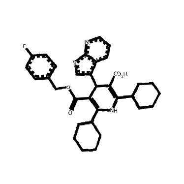 O=C(O)C1=C(C2CCCCC2)NC(C2CCCCC2)=C(C(=O)OCc2ccc(F)cc2)C1c1csc2ncccc12